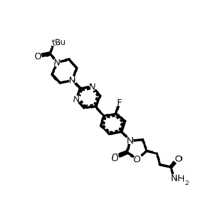 CC(C)(C)C(=O)N1CCN(c2ncc(-c3ccc(N4CC(CCC(N)=O)OC4=O)cc3F)cn2)CC1